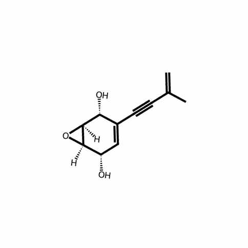 C=C(C)C#CC1=C[C@H](O)[C@H]2O[C@H]2[C@@H]1O